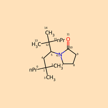 CCCC(C)(C)CC(N1CCCC1=O)C(C)(C)CCC